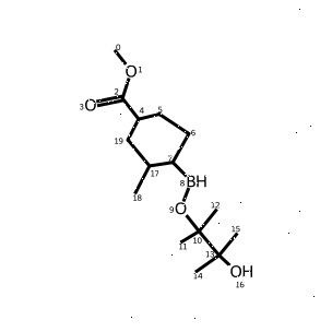 COC(=O)C1CCC(BOC(C)(C)C(C)(C)O)C(C)C1